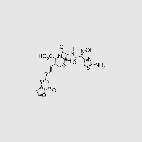 Nc1nc(C(=NO)C(=O)NC2C(=O)N3C(C(=O)O)=C(C=CSc4cc(=O)c5occc5s4)CS[C@@H]23)cs1